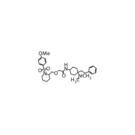 COc1ccc(S(=O)(=O)N2CCCCC2COCC(=O)NC2CCC(CCc3ccccc3)(N(C)C)CC2)cc1